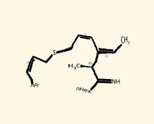 C/C=C(\C=C/CSC/C=C\CCC)[C@H](C)C(=N)CCCCCC